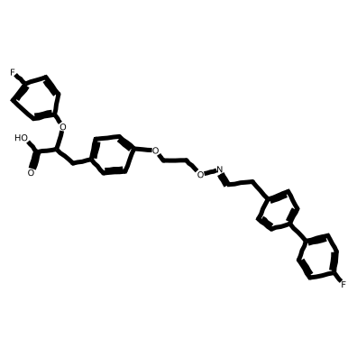 O=C(O)C(Cc1ccc(OCCON=CCc2ccc(-c3ccc(F)cc3)cc2)cc1)Oc1ccc(F)cc1